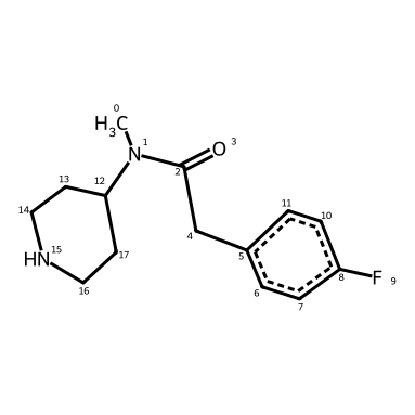 CN(C(=O)Cc1ccc(F)cc1)C1CCNCC1